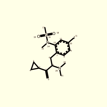 C=C(C1CC1)C(Cc1ccc(I)cc1N(C)S(C)(=O)=O)N(C)C